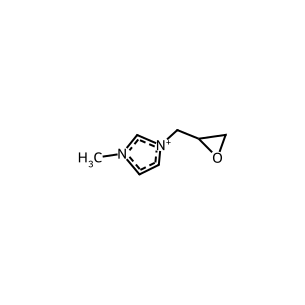 Cn1cc[n+](CC2CO2)c1